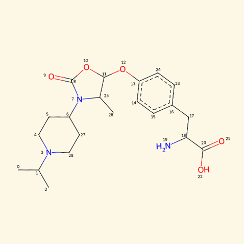 CC(C)N1CCC(N2C(=O)OC(Oc3ccc(CC(N)C(=O)O)cc3)C2C)CC1